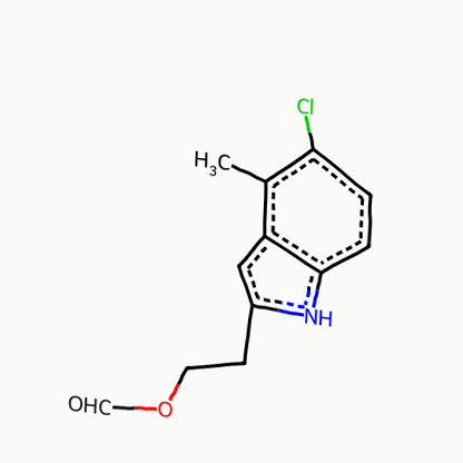 Cc1c(Cl)ccc2[nH]c(CCOC=O)cc12